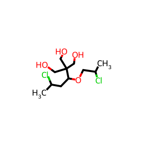 CC(Cl)COC(CC(C)Cl)C(CO)(CO)CO